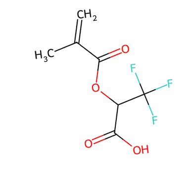 C=C(C)C(=O)OC(C(=O)O)C(F)(F)F